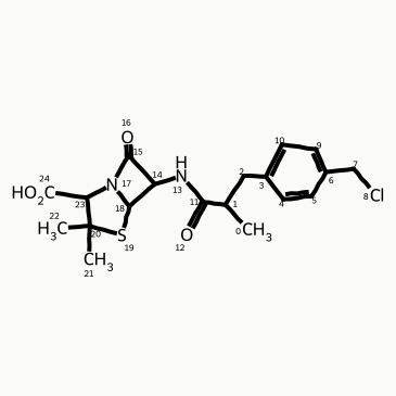 CC(Cc1ccc(CCl)cc1)C(=O)NC1C(=O)N2C1SC(C)(C)C2C(=O)O